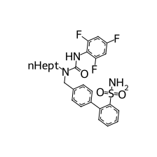 CCCCCCCN(Cc1ccc(-c2ccccc2S(N)(=O)=O)cc1)C(=O)Nc1c(F)cc(F)cc1F